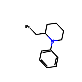 CC(C)CC1CCCCN1c1ccccc1